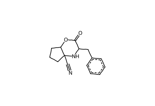 N#CC12CCCC1OC(=O)C(Cc1ccccc1)N2